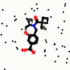 C[C@@H]1COc2cc(C(=O)O)ccc2CN1C(=O)C1(C)CCC1